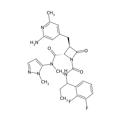 CCC(NC(=O)N1C(=O)[C@H](Cc2cc(C)nc(N)c2)[C@H]1C(=O)N(C)c1ccnn1C)c1cccc(F)c1F